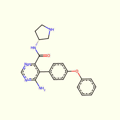 Nc1ncnc(C(=O)N[C@@H]2CCNC2)c1-c1ccc(Oc2ccccc2)cc1